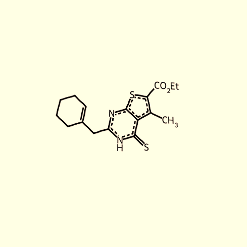 CCOC(=O)c1sc2nc(CC3=CCCCC3)[nH]c(=S)c2c1C